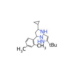 Cc1ccc(C2CC(C3CC3)NC3C=C(C(C)(C)C)NN32)c(C)c1